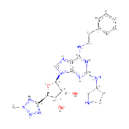 CCn1nnc([C@H]2O[C@@H](n3cnc4c(NCCc5ccccc5)nc(NC5CCNC5)nc43)[C@H](O)[C@@H]2O)n1